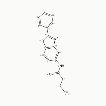 CCCC(=O)Nc1cnc2oc(-c3ccccc3)nc2c1